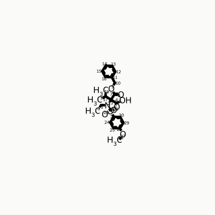 CCN(C(C(=O)O)(C(=O)OCc1ccccc1)C(C)C)S(=O)(=O)c1ccc(OC)cc1